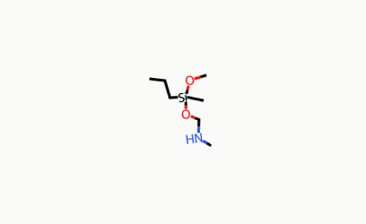 CCC[Si](C)(OC)OCNC